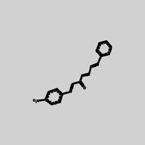 O=C(C=CC=Cc1ccccc1)C=Cc1ccc([N+](=O)[O-])cc1